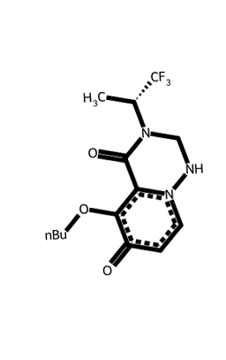 CCCCOc1c2n(ccc1=O)NCN([C@H](C)C(F)(F)F)C2=O